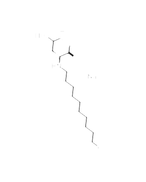 CCCCCCCCCCCN[C@@H](CC(C)C)C(=O)O.[NaH]